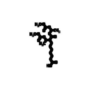 COC(=O)OC(C)OC(=O)C(CCCCCCC(=O)O)C(C)OC(=O)OC